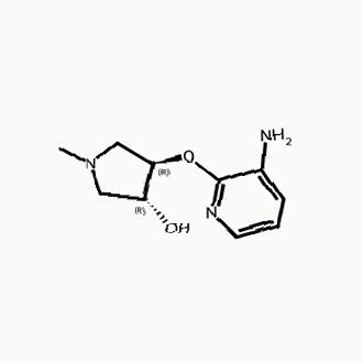 CN1C[C@@H](O)[C@H](Oc2ncccc2N)C1